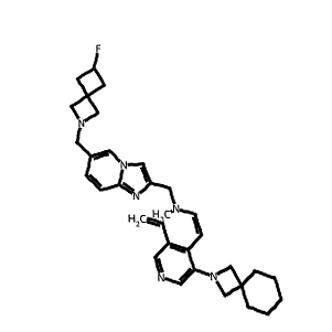 C=Cc1cncc(N2CC3(CCCCC3)C2)c1/C=C\N(C)Cc1cn2cc(CN3CC4(CC(F)C4)C3)ccc2n1